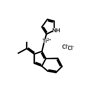 CC(C)=C1C=c2ccccc2=[C]1[Ti+2][c]1ccc[nH]1.[Cl-].[Cl-]